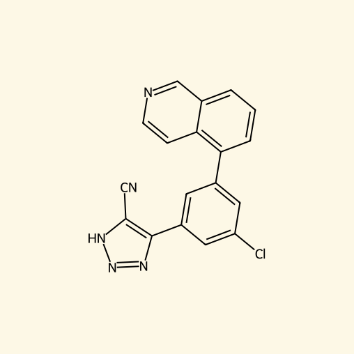 N#Cc1[nH]nnc1-c1cc(Cl)cc(-c2cccc3cnccc23)c1